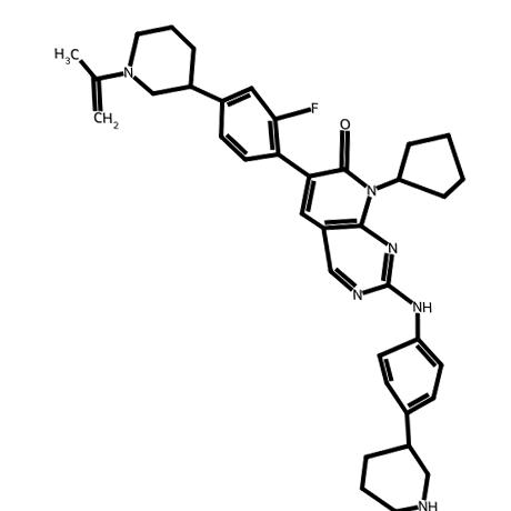 C=C(C)N1CCCC(c2ccc(-c3cc4cnc(Nc5ccc(C6CCCNC6)cc5)nc4n(C4CCCC4)c3=O)c(F)c2)C1